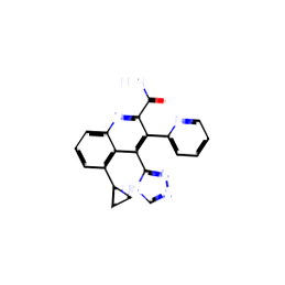 NC(=O)c1nc2cccc(C3CC3)c2c(-c2nnc[nH]2)c1-c1ccccn1